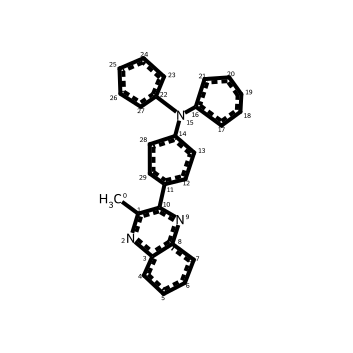 Cc1nc2ccccc2nc1-c1ccc(N(c2ccccc2)c2ccccc2)cc1